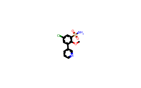 COc1c(-c2cccnc2)cc(Cl)cc1S(N)(=O)=O